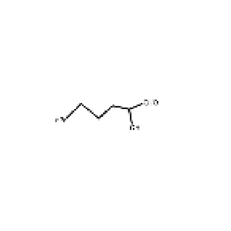 CCCCCCC(O)C=O